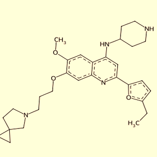 CCc1ccc(-c2cc(NC3CCNCC3)c3cc(OC)c(OCCCN4CCC5(CC5)C4)cc3n2)o1